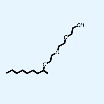 CCCCCCCC(C)OCCOCCOCCO